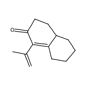 C=C(C)C1=C2CCCCC2CCC1=O